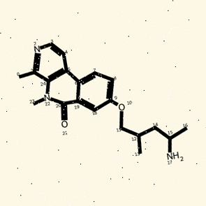 Cc1nccc2c3ccc(OCC(C)CC(C)N)cc3c(=O)n(C)c12